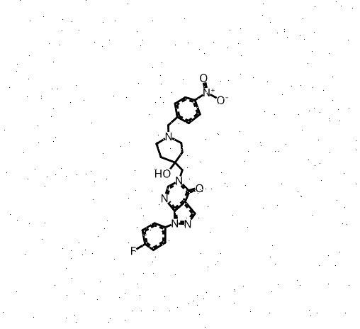 O=c1c2cnn(-c3ccc(F)cc3)c2ncn1CC1(O)CCN(Cc2ccc([N+](=O)[O-])cc2)CC1